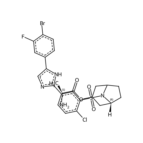 C[C@H](N)C(=O)OC1CC2CC[C@H](C1)N2S(=O)(=O)c1cc(-c2ncc(-c3ccc(Br)c(F)c3)[nH]2)ccc1Cl